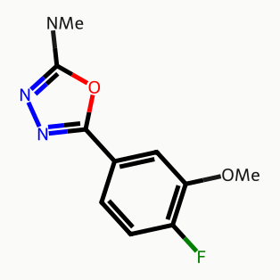 CNc1nnc(-c2ccc(F)c(OC)c2)o1